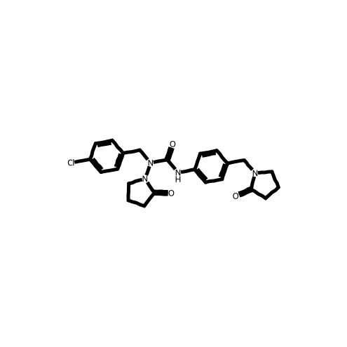 O=C1CCCN1Cc1ccc(NC(=O)N(Cc2ccc(Cl)cc2)N2CCCC2=O)cc1